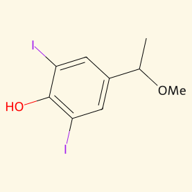 COC(C)c1cc(I)c(O)c(I)c1